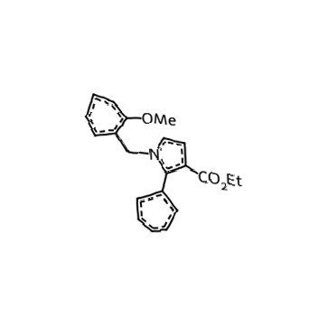 CCOC(=O)c1ccn(Cc2ccccc2OC)c1-c1ccccc1